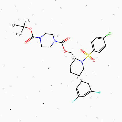 CC(C)(C)OC(=O)N1CCN(C(=O)OC[C@H]2CC[C@@H](C3C=C(F)C=C(F)C3)CN2S(=O)(=O)c2ccc(Cl)cc2)CC1